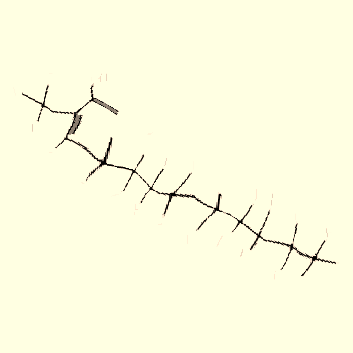 O=C(O)C(=C(F)C(F)(F)C(F)(F)C(F)(F)C(F)(F)C(F)(F)C(F)(F)C(F)(F)C(F)(F)C(F)(F)F)C(F)(F)F